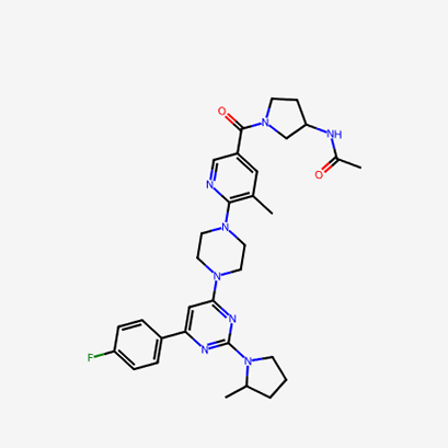 CC(=O)NC1CCN(C(=O)c2cnc(N3CCN(c4cc(-c5ccc(F)cc5)nc(N5CCCC5C)n4)CC3)c(C)c2)C1